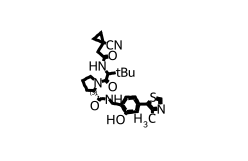 Cc1ncsc1-c1ccc(CNC(=O)[C@@H]2CCCN2C(=O)C(NC(=O)CC2(C#N)CC2)C(C)(C)C)c(O)c1